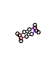 c1ccc2c(c1)-c1ccccc1C2c1ccc2c(c1)C1(c3cc(C4c5ccccc5-c5ccccc54)ccc3-c3ccc(-n4c5ccccc5c5ccccc54)cc31)c1cc(-n3c4ccccc4c4ccccc43)ccc1-2